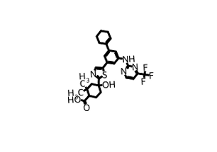 CC1(C)CC(O)(c2ncc(-c3cc(Nc4nccc(C(F)(F)F)n4)cc(C4=CCCCC4)c3)s2)CCC1C(=O)O